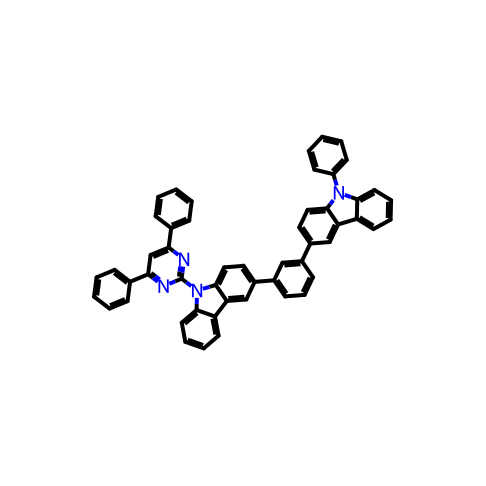 c1ccc(-c2cc(-c3ccccc3)nc(-n3c4ccccc4c4cc(-c5cccc(-c6ccc7c(c6)c6ccccc6n7-c6ccccc6)c5)ccc43)n2)cc1